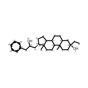 CC[C@]1(O)CCC2(C)C(CCC3C2CCC2(C)C3CC[C@@H]2CC(O)Cc2ccccc2)C1